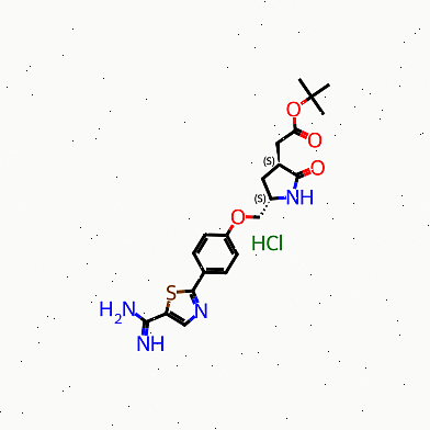 CC(C)(C)OC(=O)C[C@@H]1C[C@@H](COc2ccc(-c3ncc(C(=N)N)s3)cc2)NC1=O.Cl